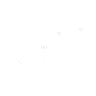 COC1CCN(c2cc(Cl)cc(NC(=O)c3cc(N4CCCS4)cc(F)c3Cl)c2)CC1